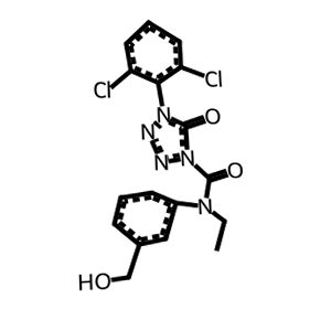 CCN(C(=O)n1nnn(-c2c(Cl)cccc2Cl)c1=O)c1cccc(CO)c1